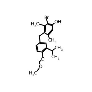 COCOc1ccc(Cc2c(C)cc(O)c(Br)c2C)cc1C(C)C